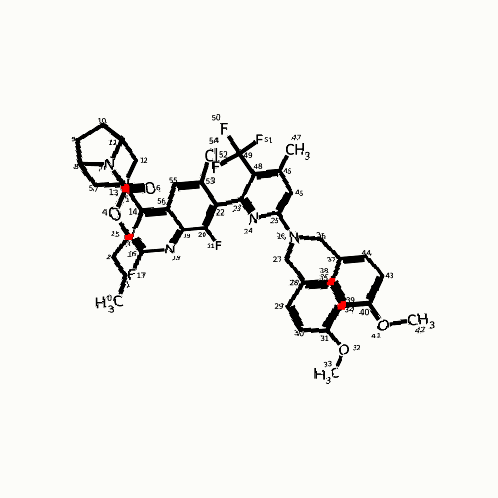 CCCCOC(=O)N1C2CCC1CN(c1nc(F)nc3c(F)c(-c4nc(N(Cc5ccc(OC)cc5)Cc5ccc(OC)cc5)cc(C)c4C(F)(F)F)c(Cl)cc13)C2